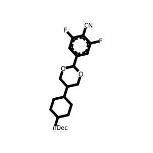 CCCCCCCCCCC1CCC(C2COC(c3cc(F)c(C#N)c(F)c3)OC2)CC1